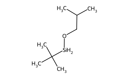 CC(C)CO[SiH2]C(C)(C)C